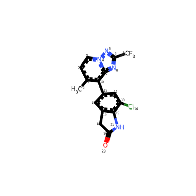 Cc1ccn2nc(C(F)(F)F)nc2c1-c1cc(Cl)c2c(c1)CC(=O)N2